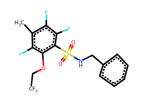 Cc1c(F)c(F)c(S(=O)(=O)NCc2ccccc2)c(OCC(F)(F)F)c1F